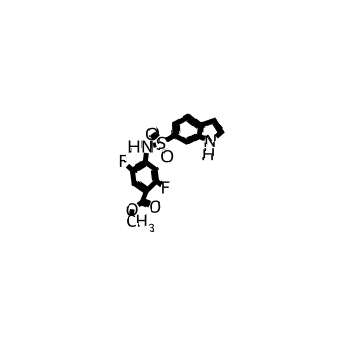 COC(=O)c1cc(F)c(NS(=O)(=O)c2ccc3cc[nH]c3c2)cc1F